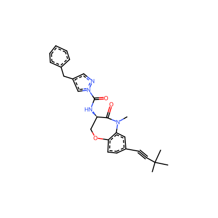 CN1C(=O)[C@H](NC(=O)n2cc(Cc3ccccc3)cn2)COc2ccc(C#CC(C)(C)C)cc21